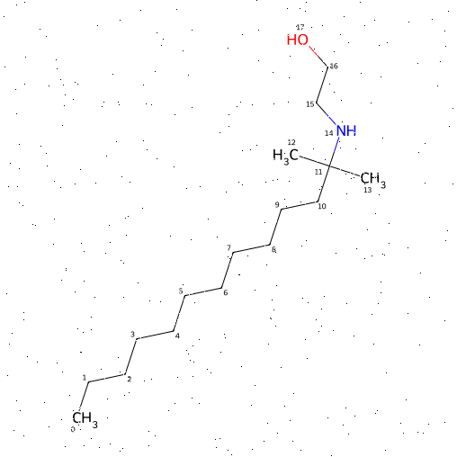 CCCCCCCCCCCC(C)(C)NCCO